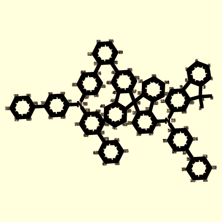 CC1(C)c2ccccc2-c2ccc(N(c3ccc(-c4ccccc4)cc3)c3cccc4c3-c3ccccc3C43c4ccccc4-c4cc(-c5ccccc5-c5ccc(N(c6ccc(-c7ccccc7)cc6)c6ccc(-c7ccccc7)cc6)cc5)ccc43)cc21